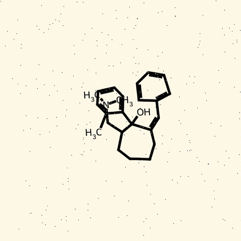 Cc1ccccc1C1(O)/C(=C\c2ccccc2)CCCCC1CN(C)C